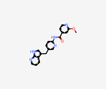 COc1cc(C(=O)Nc2ccc(Cc3c[nH]c4ncccc34)cn2)ccn1